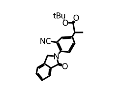 CC(C(=O)OC(C)(C)C)c1ccc(N2Cc3ccccc3C2=O)c(C#N)c1